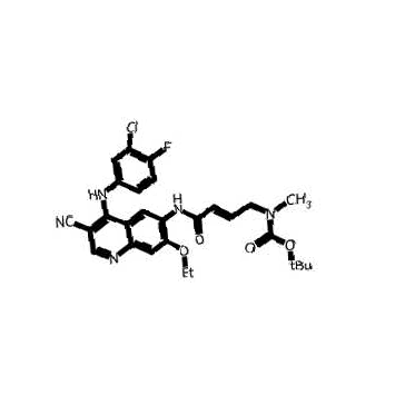 CCOc1cc2ncc(C#N)c(Nc3ccc(F)c(Cl)c3)c2cc1NC(=O)/C=C/CN(C)C(=O)OC(C)(C)C